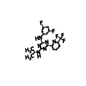 CC(C)Nc1nc(Nc2cc(F)cc(F)c2)nc(-c2cccc(C(F)(F)F)n2)n1